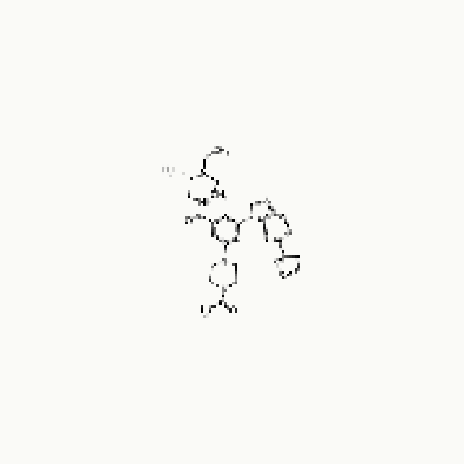 CCN(CC)[C@@H](C)CNC(=O)c1cc(-c2cnn3ccc(-c4cccs4)nc23)nc(N2CCN(C(C)=O)CC2)c1